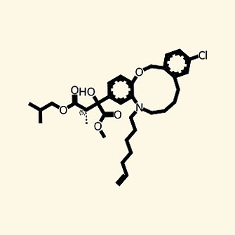 C=CCCCCCN1CCCCc2cc(Cl)ccc2COc2ccc(C(O)(C(=O)OC)[C@H](C)C(=O)OCC(C)C)cc21